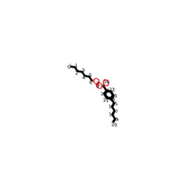 [CH2]CCCCCCOOC(=O)c1ccc(CCCCCC)cc1